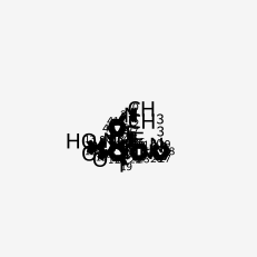 CN(C)Cc1ccc(-n2cc(C(=O)O)c(=O)c3cc(F)c(N4CCN(c5ccccn5)CC4)c(OC(F)(F)F)c32)cc1